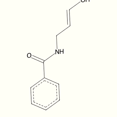 O=C(NCC=CO)c1ccccc1